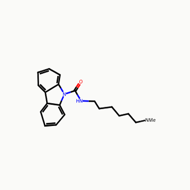 CNCCCCCCNC(=O)n1c2ccccc2c2ccccc21